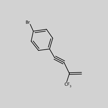 C=C(C#Cc1ccc(Br)cc1)C(F)(F)F